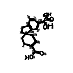 O=C(O)C1CCC2(CCc3ccc(P(=O)(O)O)cc32)CC1